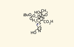 CC(C)COC(=O)OCC[C@@]1(C)C(S/C=C\c2scnc2CO)=C(C(=O)O)N2C(=O)[C@H]([C@@H](C)O)[C@H]21